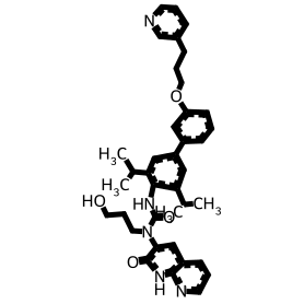 CC(C)c1cc(-c2cccc(OCCCc3cccnc3)c2)cc(C(C)C)c1NC(=O)N(CCCO)c1cc2cccnc2[nH]c1=O